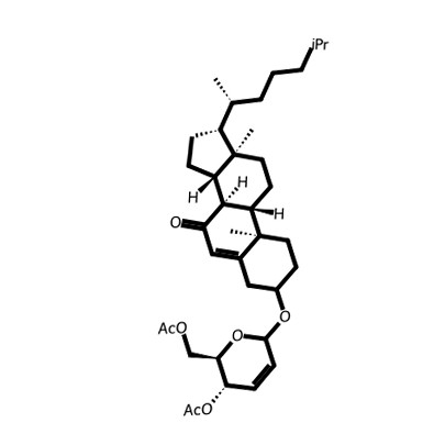 CC(=O)OC[C@H]1OC(OC2CC[C@@]3(C)C(=CC(=O)[C@H]4[C@@H]5CC[C@H]([C@H](C)CCCC(C)C)[C@@]5(C)CC[C@@H]43)C2)C=C[C@@H]1OC(C)=O